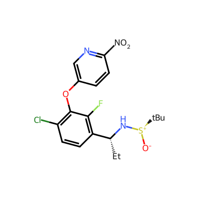 CC[C@@H](N[S@+]([O-])C(C)(C)C)c1ccc(Cl)c(Oc2ccc([N+](=O)[O-])nc2)c1F